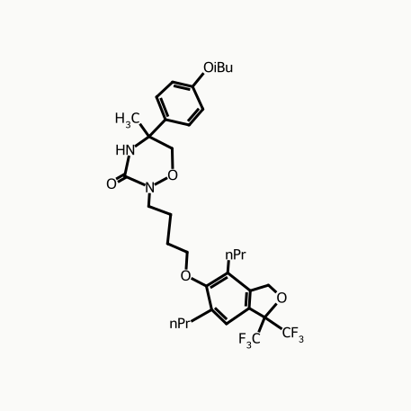 CCCc1cc2c(c(CCC)c1OCCCCN1OCC(C)(c3ccc(OCC(C)C)cc3)NC1=O)COC2(C(F)(F)F)C(F)(F)F